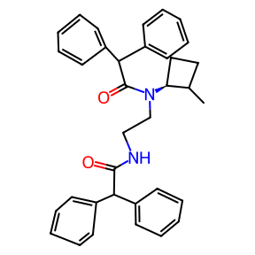 CC1CC[C@@H]1N(CCNC(=O)C(c1ccccc1)c1ccccc1)C(=O)C(c1ccccc1)c1ccccc1